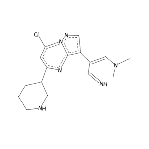 CN(C)/C=C(\C=N)c1cnn2c(Cl)cc(C3CCCNC3)nc12